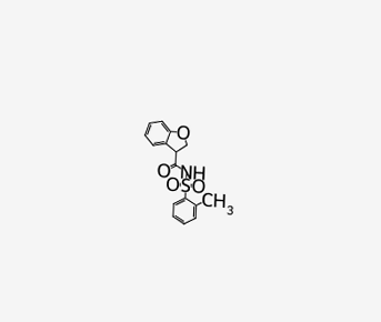 Cc1ccccc1S(=O)(=O)NC(=O)C1COc2ccccc21